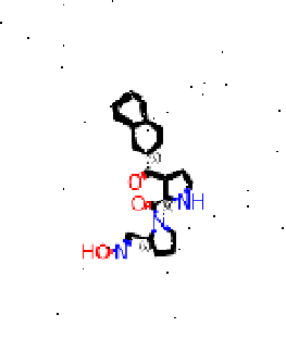 O=C(C1CCN[C@H]1C(=O)N1CCC[C@H]1C=NO)[C@H]1CCc2ccccc2C1